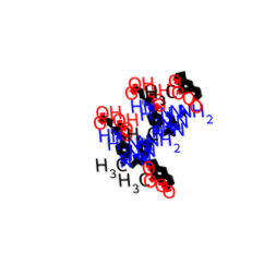 CN(Cc1cnc2nc(N)nc(N)c2n1)c1ccc(C(=O)N[C@@H](CCC(=O)O)C(=O)O)cc1.CN(Cc1cnc2nc(N)nc(N)c2n1)c1ccc(C(=O)N[C@@H](CCC(=O)O)C(=O)O)cc1.COc1c2occc2cc2ccc(=O)oc12.COc1c2occc2cc2ccc(=O)oc12